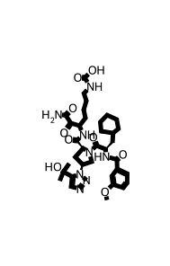 COc1cccc(C(=O)N[C@H](CC2CCCCC2)C(=O)N2C[C@@H](n3nncc3C(C)(C)O)C[C@H]2C(=O)NC(CCCCNC(=O)O)C(=O)C(N)=O)c1